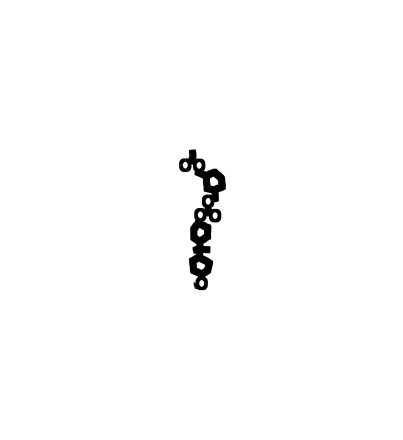 COC1CCC(C(C)(C)C2CCC(OC(=O)OCC3CCCC(COC(C)=O)C3)CC2)CC1